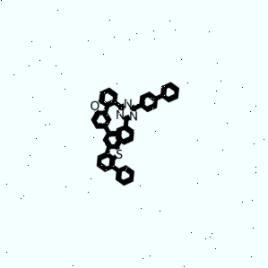 c1ccc(-c2ccc(-c3nc(-c4ccccc4)nc(-c4cccc5oc6ccc(-c7ccc8sc9c(-c%10ccccc%10)cccc9c8c7)cc6c45)n3)cc2)cc1